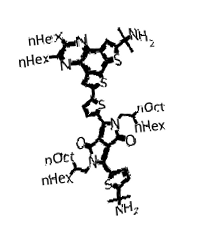 CCCCCCCCC(CCCCCC)CN1C(=O)C2=C(c3ccc(C(C)(C)N)s3)N(CC(CCCCCC)CCCCCCCC)C(=O)C2=C1c1ccc(-c2cc3c4nc(CCCCCC)c(CCCCCC)nc4c4cc(C(C)(C)N)sc4c3s2)s1